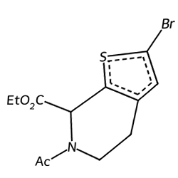 CCOC(=O)C1c2sc(Br)cc2CCN1C(C)=O